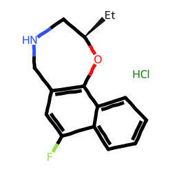 CC[C@@H]1CNCc2cc(F)c3ccccc3c2O1.Cl